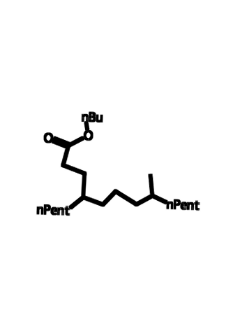 CCCCCC(C)CCCC(CCCCC)CCC(=O)OCCCC